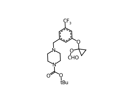 CC(C)(C)OC(=O)N1CCN(Cc2cc(OC3(OC=O)CC3)cc(C(F)(F)F)c2)CC1